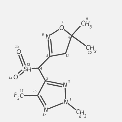 Cn1nc(C(C2=NOC(C)(C)C2)[SH](=O)=O)c(C(F)(F)F)n1